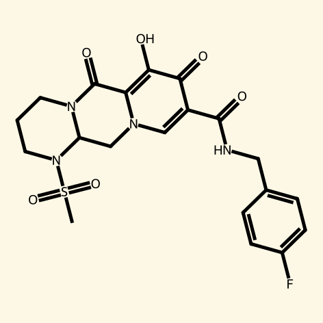 CS(=O)(=O)N1CCCN2C(=O)c3c(O)c(=O)c(C(=O)NCc4ccc(F)cc4)cn3CC21